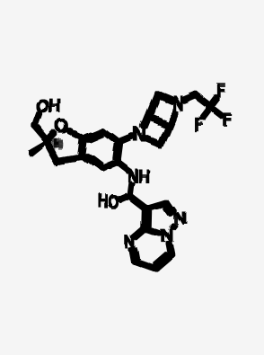 C[C@]1(CO)Cc2cc(NC(O)c3cnn4cccnc34)c(N3CC4C3CN4CC(F)(F)F)cc2O1